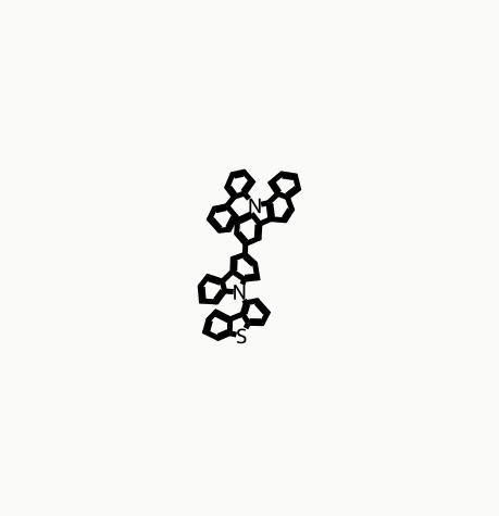 c1ccc(-c2ccccc2-n2c3ccc(-c4ccc5c(c4)c4ccccc4n5-c4cccc5sc6ccccc6c45)cc3c3ccc4ccccc4c32)cc1